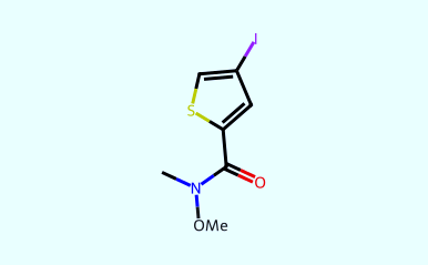 CON(C)C(=O)c1cc(I)cs1